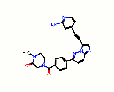 CN1CCN(C(=O)c2ccc(-c3ccc4ncc(C#Cc5ccnc(N)c5)n4n3)cc2)CC1=O